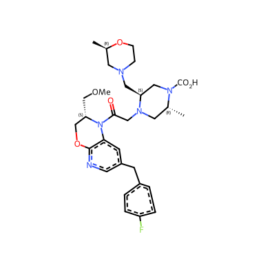 COC[C@H]1COc2ncc(Cc3ccc(F)cc3)cc2N1C(=O)CN1C[C@@H](C)N(C(=O)O)C[C@@H]1CN1CCO[C@H](C)C1